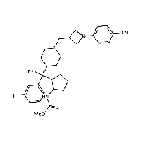 COC(=O)NC1CCCC1C(C#N)(c1cccc(F)c1)C1CCN(CC2CN(c3ccc(C#N)cc3)C2)CC1